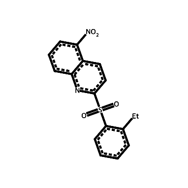 CCc1ccccc1S(=O)(=O)c1ccc2c([N+](=O)[O-])cccc2n1